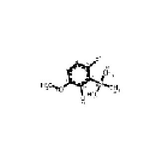 COc1ccc(F)c([Si](C)(C)C)c1Cl